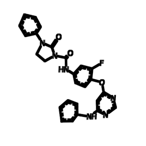 O=C(Nc1ccc(Oc2cc(Nc3ccccc3)ncn2)c(F)c1)N1CCN(c2ccccc2)C1=O